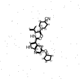 C=C(C)[C@@H](NC(=O)c1c[nH]c2ncc(OC3CCCC3)nc12)C(=O)N1CCC(C#N)CC1